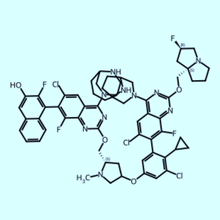 CN1CC(Oc2cc(Cl)c(C3CC3)c(-c3c(Cl)cc4c(N5CC6CCC(C5)N6)nc(OC[C@@]56CCCN5C[C@H](F)C6)nc4c3F)c2)C[C@H]1COc1nc(N2CC3CCCC2CN3)c2cc(Cl)c(-c3c(F)c(O)cc4ccccc34)c(F)c2n1